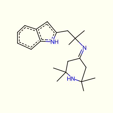 CC(C)(Cc1cc2ccccc2[nH]1)N=C1CC(C)(C)NC(C)(C)C1